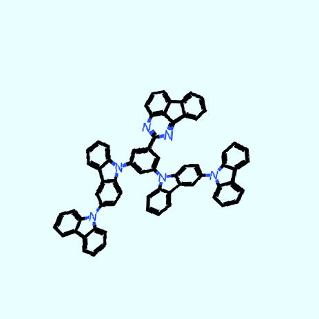 c1ccc2c(c1)-c1cccc3nc(-c4cc(-n5c6ccccc6c6cc(-n7c8ccccc8c8ccccc87)ccc65)cc(-n5c6ccccc6c6cc(-n7c8ccccc8c8ccccc87)ccc65)c4)nc-2c13